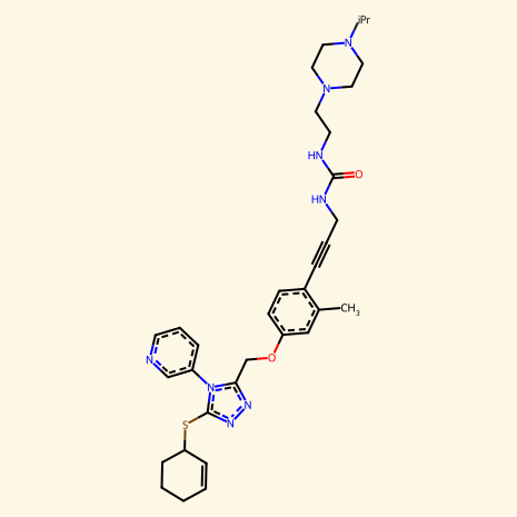 Cc1cc(OCc2nnc(SC3C=CCCC3)n2-c2cccnc2)ccc1C#CCNC(=O)NCCN1CCN(C(C)C)CC1